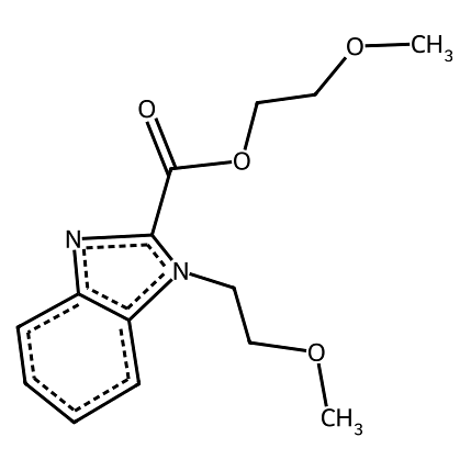 COCCOC(=O)c1nc2ccccc2n1CCOC